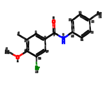 CCOc1c(C)cc(C(=O)Nc2ccc(C(C)=O)cc2)cc1Br